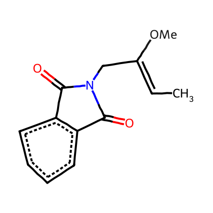 CC=C(CN1C(=O)c2ccccc2C1=O)OC